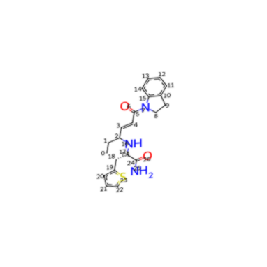 CCC(C=CC(=O)N1CCc2ccccc21)N[C@@H](Cc1cccs1)C(N)=O